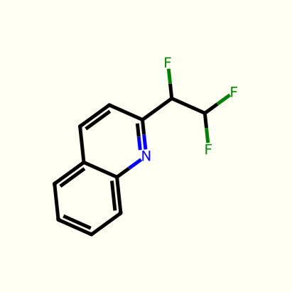 FC(F)C(F)c1ccc2ccccc2n1